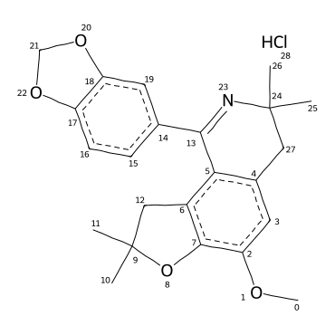 COc1cc2c(c3c1OC(C)(C)C3)C(c1ccc3c(c1)OCO3)=NC(C)(C)C2.Cl